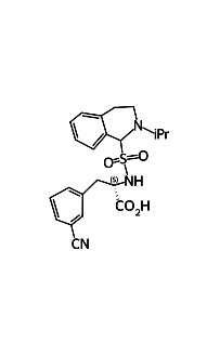 CC(C)N1CCc2ccccc2C1S(=O)(=O)N[C@@H](Cc1cccc(C#N)c1)C(=O)O